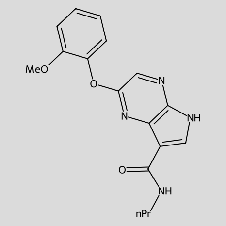 CCCNC(=O)c1c[nH]c2ncc(Oc3ccccc3OC)nc12